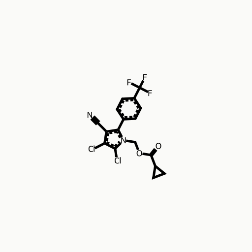 N#Cc1c(Cl)c(Cl)n(COC(=O)C2CC2)c1-c1ccc(C(F)(F)F)cc1